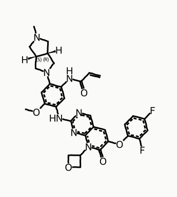 C=CC(=O)Nc1cc(Nc2ncc3cc(Oc4ccc(F)cc4F)c(=O)n(C4COC4)c3n2)c(OC)cc1N1C[C@H]2CN(C)C[C@H]2C1